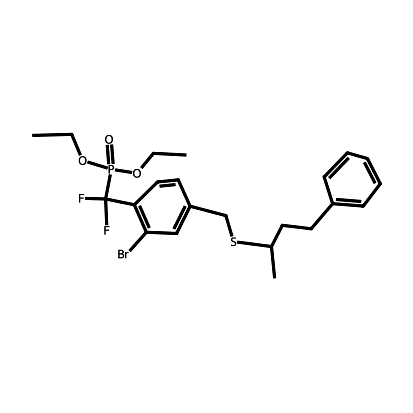 CCOP(=O)(OCC)C(F)(F)c1ccc(CSC(C)CCc2ccccc2)cc1Br